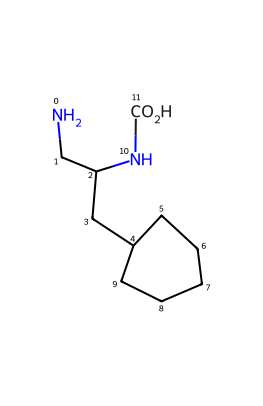 NCC(CC1CCCCC1)NC(=O)O